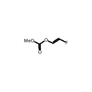 COC(=O)OC=CF